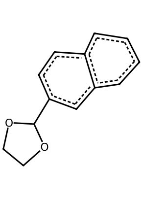 c1ccc2cc(C3OCCO3)ccc2c1